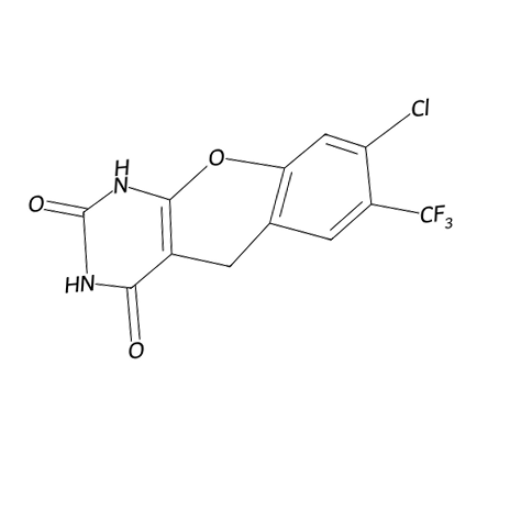 O=c1[nH]c2c(c(=O)[nH]1)Cc1cc(C(F)(F)F)c(Cl)cc1O2